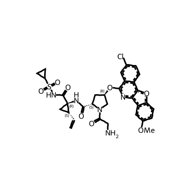 C=C[C@@H]1C[C@]1(NC(=O)[C@@H]1C[C@@H](Oc2nc3c4cc(OC)ccc4oc3c3ccc(Cl)cc23)CN1C(=O)CN)C(=O)NS(=O)(=O)C1CC1